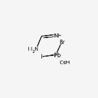 N=CN.[Br][Pb][I].[CsH]